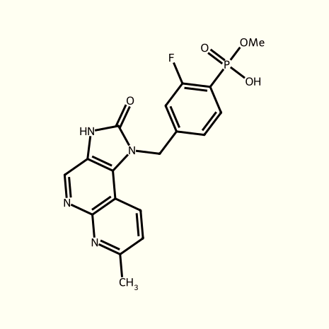 COP(=O)(O)c1ccc(Cn2c(=O)[nH]c3cnc4nc(C)ccc4c32)cc1F